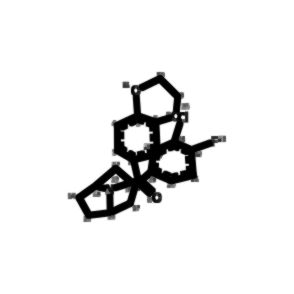 O=C(c1ccc2c(c1)OCCO2)N1C2CCC1CC(c1ccc(F)c(Cl)c1)C2